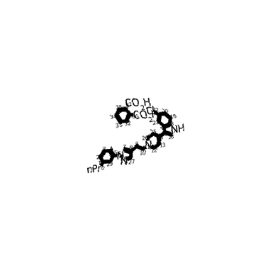 CCCc1cccc(-n2cc(CCN3CC=C(c4c[nH]c5ccc(Cl)cc45)CC3)cn2)c1.O=C(O)c1ccccc1C(=O)O